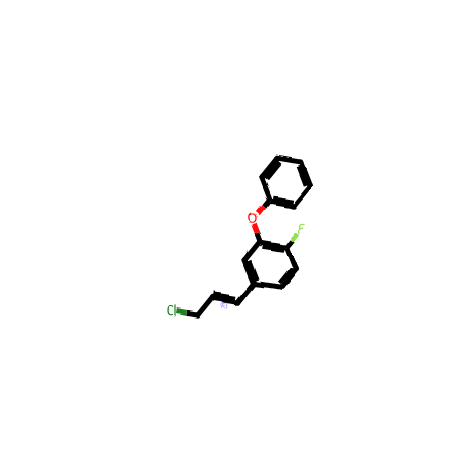 Fc1ccc(/C=C/CCl)cc1Oc1ccccc1